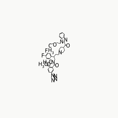 CCOCCn1c(C(=O)C2CCN(CCC(CN(C)C(=O)c3cc(-n4cnnn4)ccc3OC)c3ccc(F)c(F)c3)CC2)nc2ccccc21